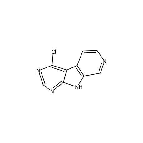 Clc1ncnc2[nH]c3cnccc3c12